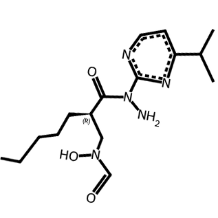 CCCCC[C@H](CN(O)C=O)C(=O)N(N)c1nccc(C(C)C)n1